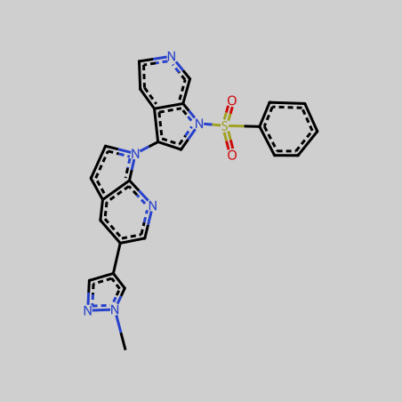 Cn1cc(-c2cnc3c(ccn3-c3cn(S(=O)(=O)c4ccccc4)c4cnccc34)c2)cn1